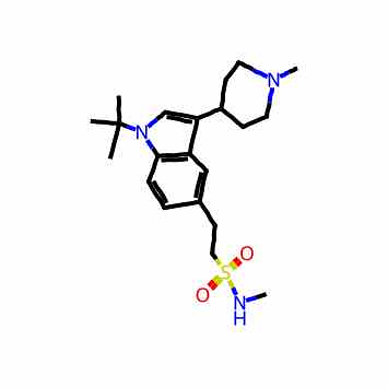 CNS(=O)(=O)CCc1ccc2c(c1)c(C1CCN(C)CC1)cn2C(C)(C)C